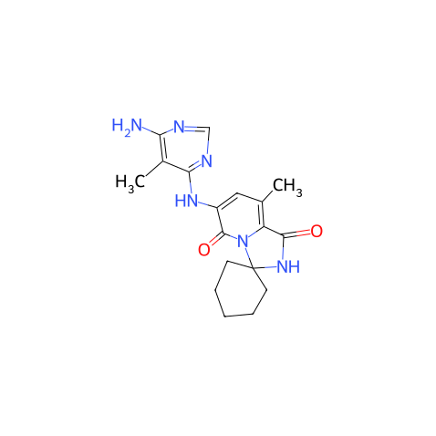 Cc1cc(Nc2ncnc(N)c2C)c(=O)n2c1C(=O)NC21CCCCC1